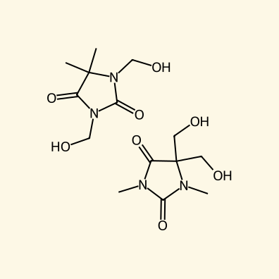 CC1(C)C(=O)N(CO)C(=O)N1CO.CN1C(=O)N(C)C(CO)(CO)C1=O